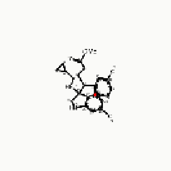 COC(=O)CCC(c1cccc(Cl)c1)C1(NCC2CC2)CNc2cc(Cl)ccc21